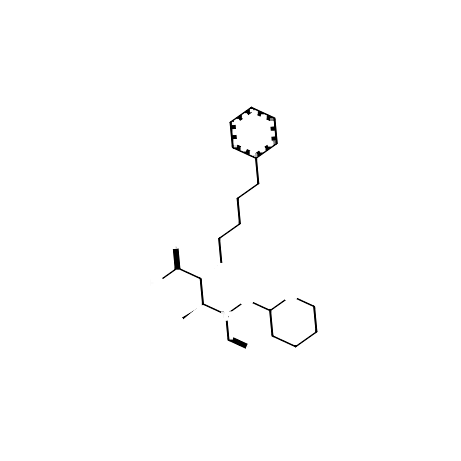 C[C@@H]([C@@H](CCCCCc1ccccc1)C(=O)O)N(C=O)OC1CCCCO1